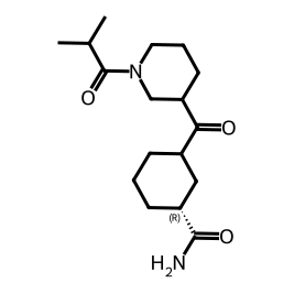 CC(C)C(=O)N1CCCC(C(=O)C2CCC[C@@H](C(N)=O)C2)C1